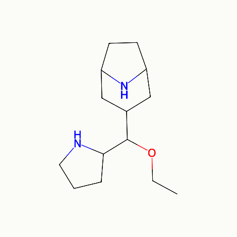 CCOC(C1CC2CCC(C1)N2)C1CCCN1